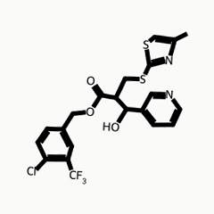 Cc1csc(SCC(C(=O)OCc2ccc(Cl)c(C(F)(F)F)c2)C(O)c2cccnc2)n1